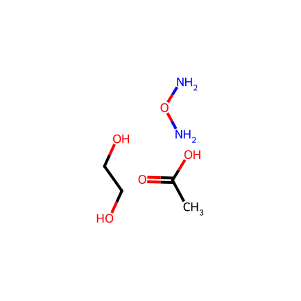 CC(=O)O.NON.OCCO